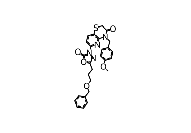 COc1ccc(CN2C(=O)CSc3ccc(-n4nc(CCCOCc5ccccc5)oc4=O)nc32)cc1